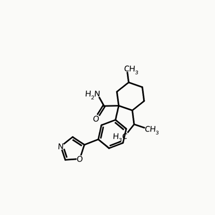 CC1CCC(C(C)C)C(C(N)=O)(c2cccc(-c3cnco3)c2)C1